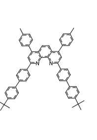 Cc1ccc(-c2cc(-c3ccc(-c4ccc(C(C)(C)C)cc4)cc3)nc3c2ccc2c(-c4ccc(C)cc4)cc(-c4ccc(-c5ccc(C(C)(C)C)cc5)cc4)nc23)cc1